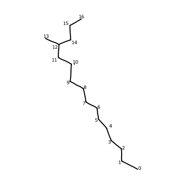 CCCCCCCCCC[CH]CC(C)CCC